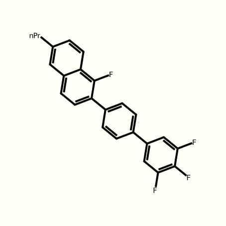 CCCc1ccc2c(F)c(-c3ccc(-c4cc(F)c(F)c(F)c4)cc3)ccc2c1